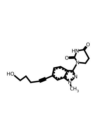 Cn1nc(N2CCC(=O)NC2=O)c2ccc(C#CCCCO)cc21